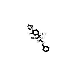 CC(C)(C)CC(NC(=O)OCc1ccccc1)(C(=O)O)c1ccc(-n2cnnn2)c(F)c1